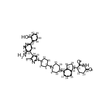 Cc1nn(C2CCC(N3CCN(c4cccc5c4CCN5C4CCC(=O)NC4=O)CC3)CC2)cc1-c1cc(-c2ccccc2O)nnc1N